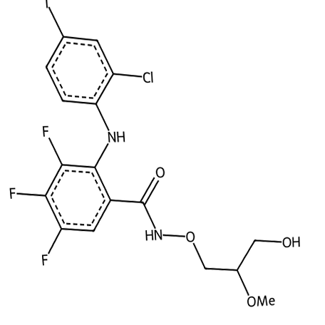 COC(CO)CONC(=O)c1cc(F)c(F)c(F)c1Nc1ccc(I)cc1Cl